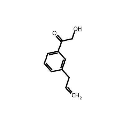 C=CCc1cccc(C(=O)CO)c1